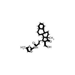 Cc1cnc(NC(=O)CC[C@@H]2C(=CO)C(=O)[C@@]3(C)CCC4c5ccccc5CCC4C23)s1